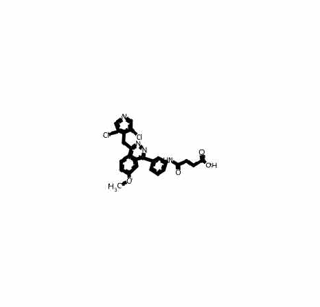 COc1ccc2c(Cc3c(Cl)cncc3Cl)nnc(-c3cccc(NC(=O)CCC(=O)O)c3)c2c1